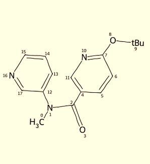 CN(C(=O)c1ccc(OC(C)(C)C)nc1)c1cccnc1